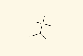 CC([SiH3])[Si](C)(C)C